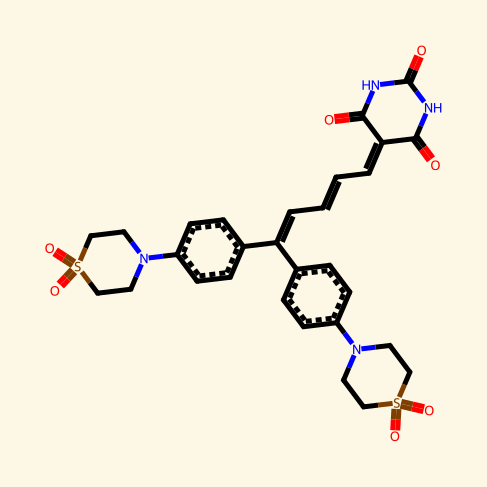 O=C1NC(=O)C(=C/C=C/C=C(c2ccc(N3CCS(=O)(=O)CC3)cc2)c2ccc(N3CCS(=O)(=O)CC3)cc2)C(=O)N1